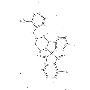 Cc1ccccc1CN1CCN(C2(c3ccccc3)C(=O)c3cccc(F)c3C2=O)CC1